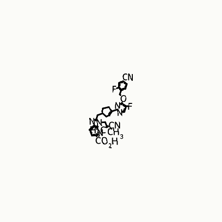 CC(C)(C#N)Cn1c(CC2CC=C(c3ncc(F)c(OCc4ccc(C#N)cc4F)n3)CC2)nc2ccc(C(=O)O)nc21